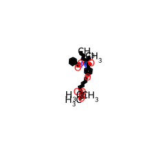 CCCCC(CC)/C(=N\OC(=O)c1ccccc1)C(=O)c1ccc(OCCCCCC(=O)O[Si](C)(C)OC)cc1